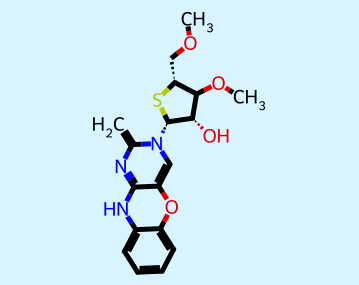 C=C1N=C2Nc3ccccc3OC2=CN1[C@@H]1S[C@H](COC)C(OC)[C@@H]1O